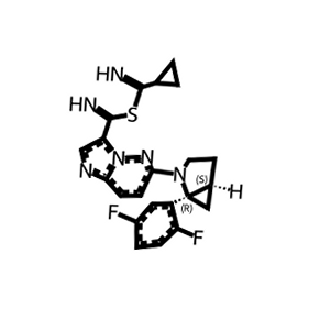 N=C(SC(=N)C1CC1)c1cnc2ccc(N3CC[C@H]4C[C@]43c3cc(F)ccc3F)nn12